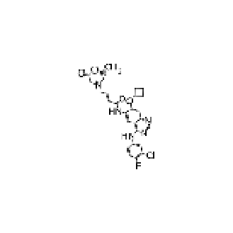 C[C@@H]1CN(CC=CC(=O)Nc2cc3c(Nc4ccc(F)c(Cl)c4)ncnc3cc2OC2CCC2)CC(=O)O1